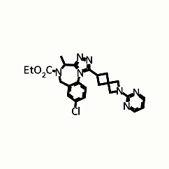 CCOC(=O)N1Cc2cc(Cl)ccc2-n2c(C3CC4(C3)CN(c3ncccn3)C4)nnc2C1C